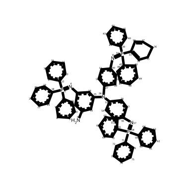 Nc1cc(N=P(c2ccccc2)(c2ccccc2)c2ccccc2)cc(N(c2ccc(N=P(C3=CCCC=C3)(c3ccccc3)c3ccccc3)cc2)c2ccc(N=P(c3ccccc3)(c3ccccc3)c3ccccc3)cc2)c1